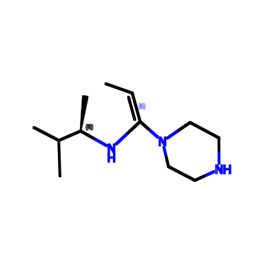 C/C=C(\N[C@H](C)C(C)C)N1CCNCC1